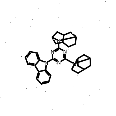 c1ccc2c(c1)c1ccccc1n2-c1nc(N2C3CC4CC(C3)CC2C4)nc(N2C3CCC4CC2CC4C3)n1